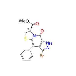 COC(=O)[C@@H]1CSc2c(-c3ccccc3)c3c(Br)n[nH]c3c(=O)n21